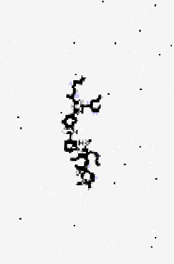 C=C/C=C\C=C(/C)c1nc(C(/C=C\C)=C/C=C)nc(-c2ccc3oc(-c4cccc(-n5c(BC)c(/C=C\C=C)c(/C=c6/c(/C=C\C=C)c(BC)oc6=C)c5C=C)c4)nc3c2)n1